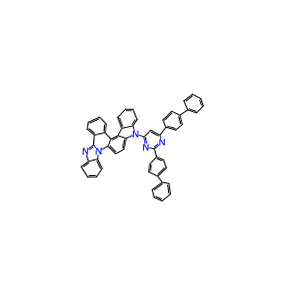 c1ccc(-c2ccc(-c3cc(-n4c5ccccc5c5c6c7ccccc7c7nc8ccccc8n7c6ccc54)nc(-c4ccc(-c5ccccc5)cc4)n3)cc2)cc1